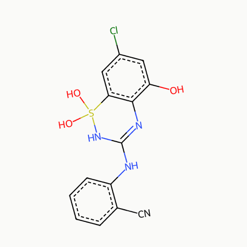 N#Cc1ccccc1NC1=Nc2c(O)cc(Cl)cc2S(O)(O)N1